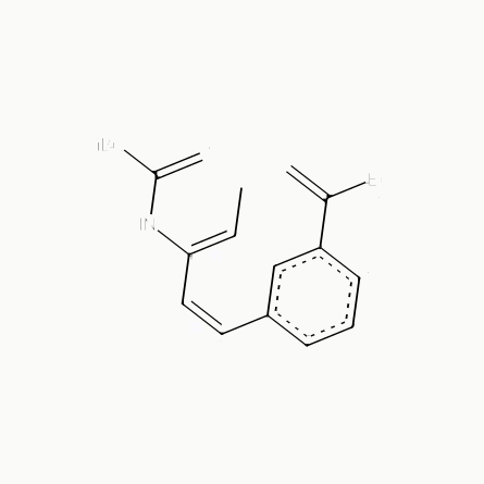 C=C(CC)c1cccc(/C=C\C(=C\C)NC(=C)C(C)CC)c1